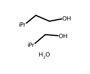 CC(C)CCO.CC(C)CO.O